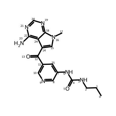 CCCNC(=O)Nc1cncc(C(=O)c2cn(C)c3ncnc(N)c23)c1